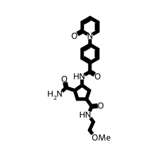 COCCNC(=O)C1CC(NC(=O)c2ccc(-n3ccccc3=O)cc2)C(C(N)=O)C1